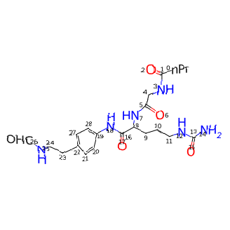 CCCC(=O)NCC(=O)NC(CCCNC(N)=O)C(=O)Nc1ccc(CCNC=O)cc1